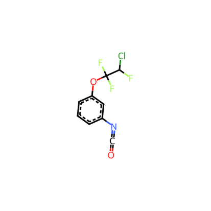 O=C=Nc1cccc(OC(F)(F)C(F)Cl)c1